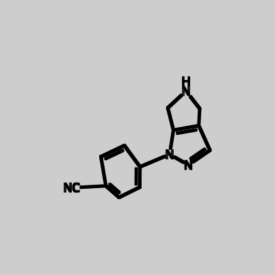 N#Cc1ccc(-n2ncc3c2CNC3)cc1